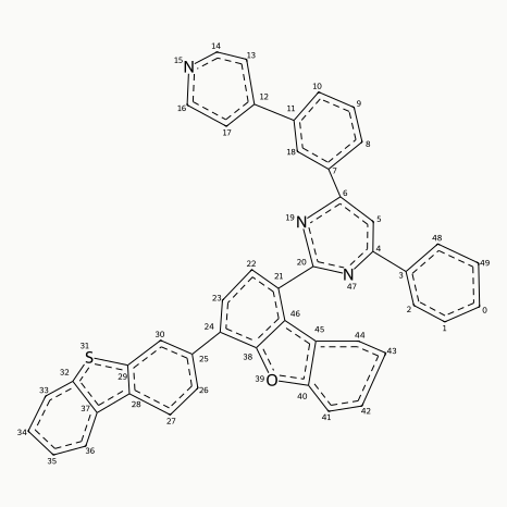 c1ccc(-c2cc(-c3cccc(-c4ccncc4)c3)nc(-c3ccc(-c4ccc5c(c4)sc4ccccc45)c4oc5ccccc5c34)n2)cc1